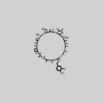 CC[C@H](C)[C@@H]1NC(C)[C@@H](C(=O)N(C)C)CNC(C)[C@H](CC(C)C)NC[C@H]([C@@H](C)CC)NC(C)[C@H](C)NC2CC[C@@H]2NC(C)CNC(C)CNC[C@H](CCc2ccc(C(F)(F)F)c(Cl)c2)NC[C@@H](C)NC[C@H](C)NC1C